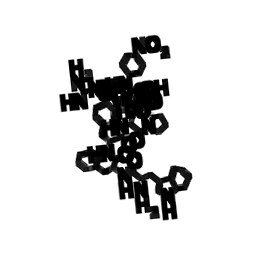 N=C(N)NCCC[C@H](NC(=O)[C@@H]1CCCN1C(=O)[C@H](COP(=O)(O)O)NC(=O)[C@H](Cc1ccc(O)cc1)NC(=O)[C@H](Cc1ccccc1)NC(=O)[C@@H](N)Cc1c[nH]c2ccccc12)C(=O)Nc1ccc([N+](=O)[O-])cc1